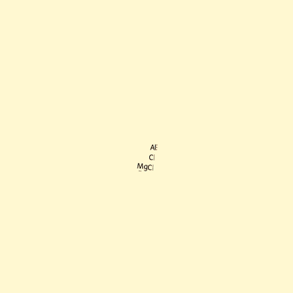 [Al].[C].[C].[Mg]